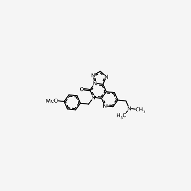 COc1ccc(Cn2c(=O)n3ncnc3c3cc(CN(C)C)cnc32)cc1